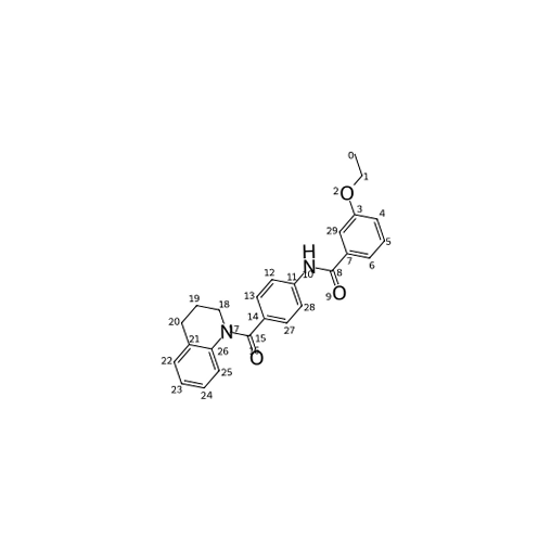 CCOc1cccc(C(=O)Nc2ccc(C(=O)N3CCCc4ccccc43)cc2)c1